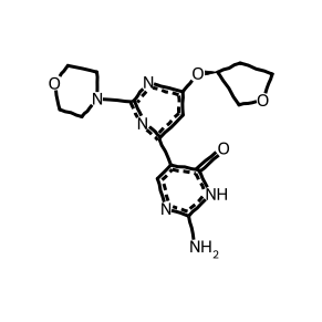 Nc1ncc(-c2cc(O[C@H]3CCOC3)nc(N3CCOCC3)n2)c(=O)[nH]1